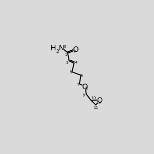 NC(=O)C=CCCCOCC1CO1